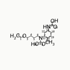 C=COCCCCN(C(=O)O)c1cc(NC(=O)O)ccc1C